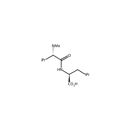 CN[C@H](C(=O)N[C@@H](CC(C)C)C(=O)O)C(C)C